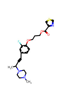 CC(C#Cc1ccc(OCCCOC(=O)c2cscn2)c(F)c1)N1CCN(C)CC1